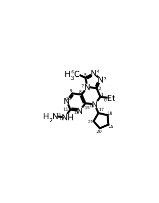 CCC1c2nnc(C)n2-c2cnc(NN)nc2N1C1CCCC1